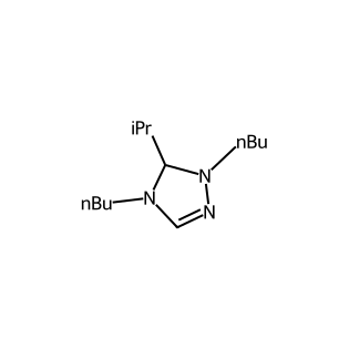 CCCCN1C=NN(CCCC)C1C(C)C